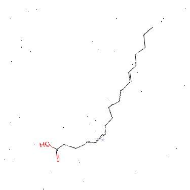 CCCCCC=CCCCCC/C=C\CCCC(=O)O